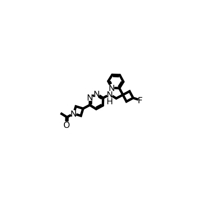 CC(=O)N1CC(c2ccc(NCC3(c4ccccn4)CC(F)C3)nn2)C1